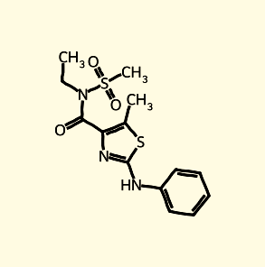 CCN(C(=O)c1nc(Nc2ccccc2)sc1C)S(C)(=O)=O